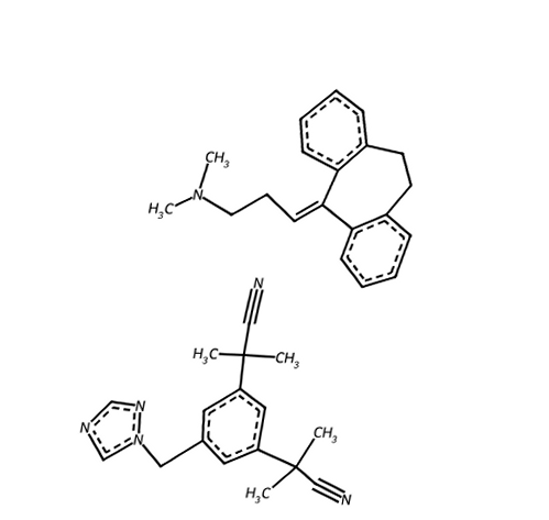 CC(C)(C#N)c1cc(Cn2cncn2)cc(C(C)(C)C#N)c1.CN(C)CCC=C1c2ccccc2CCc2ccccc21